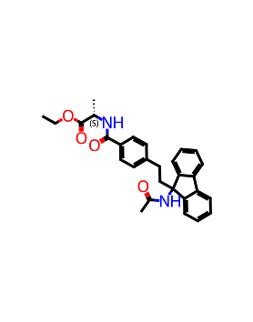 CCOC(=O)[C@H](C)NC(=O)c1ccc(CCC2(NC(C)=O)c3ccccc3-c3ccccc32)cc1